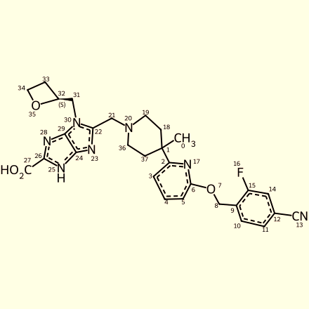 CC1(c2cccc(OCc3ccc(C#N)cc3F)n2)CCN(Cc2nc3[nH]c(C(=O)O)nc3n2C[C@@H]2CCO2)CC1